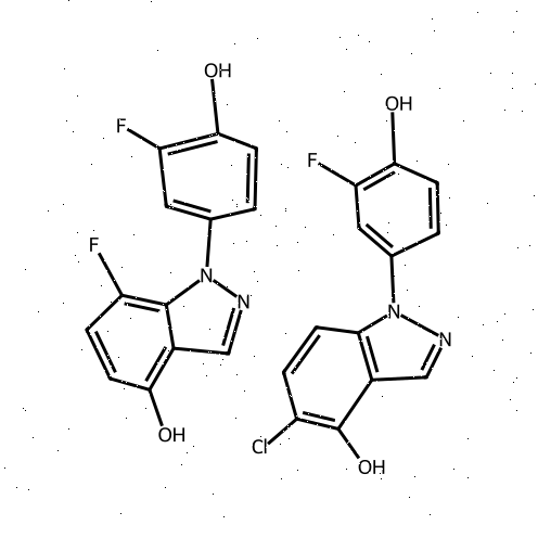 Oc1ccc(-n2ncc3c(O)c(Cl)ccc32)cc1F.Oc1ccc(-n2ncc3c(O)ccc(F)c32)cc1F